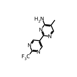 Cc1cnc(-c2cnc(C(F)(F)F)nc2)nc1N